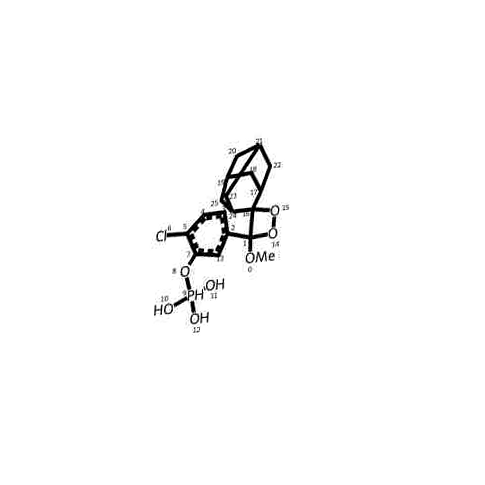 COC1(c2ccc(Cl)c(O[PH](O)(O)O)c2)OOC12C1CC3CC(C1)CC2C3